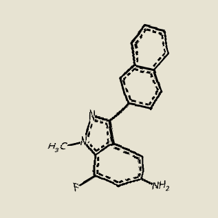 Cn1nc(-c2ccc3ccccc3c2)c2cc(N)cc(F)c21